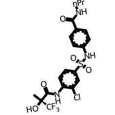 CCCNC(=O)c1ccc(NS(=O)(=O)c2ccc(NC(=O)[C@@](C)(O)C(F)(F)F)c(Cl)c2)cc1